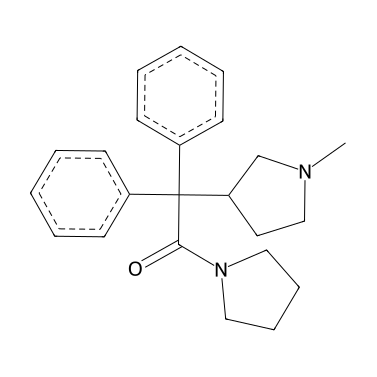 CN1CCC(C(C(=O)N2CCCC2)(c2ccccc2)c2ccccc2)C1